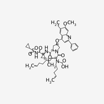 C=CCCCCC[C@@H](C(=O)N1C[C@H](Oc2cc(-c3ccccc3)nc3cc(OC)c(C=C)cc23)C[C@H]1C(=O)N[C@]1(C(=O)NS(=O)(=O)C2CC2)C[C@H]1C=C)N(CCCC=C)C(=O)O